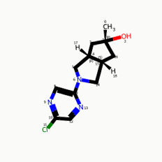 C[C@]1(O)C[C@H]2CN(c3cnc(Cl)cn3)C[C@H]2C1